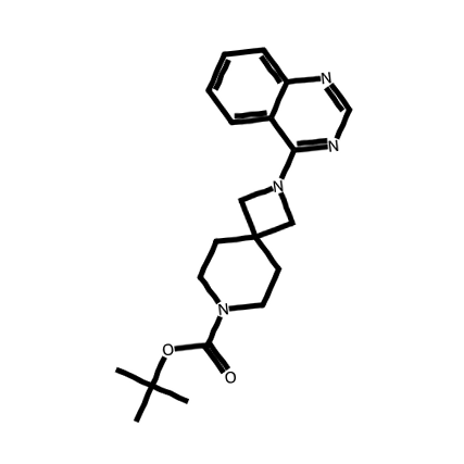 CC(C)(C)OC(=O)N1CCC2(CC1)CN(c1ncnc3ccccc13)C2